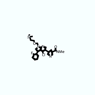 CNC(=O)c1cncc(-c2cnc3c(c(-c4ccccc4F)cn3COCC[Si](C)(C)C)c2Cl)c1